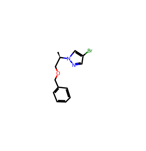 C[C@H](COCc1ccccc1)n1cc(Br)cn1